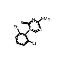 CCc1cccc(CC)c1-n1cnc(NC)nc1=S